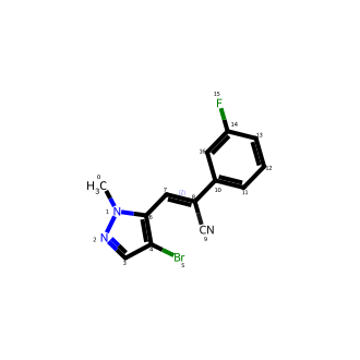 Cn1ncc(Br)c1/C=C(\C#N)c1cccc(F)c1